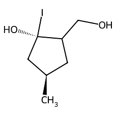 C[C@@H]1CC(CO)[C@](O)(I)C1